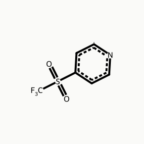 O=S(=O)(c1c[c]ncc1)C(F)(F)F